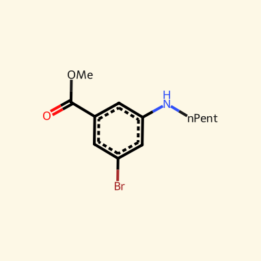 CCCCCNc1cc(Br)cc(C(=O)OC)c1